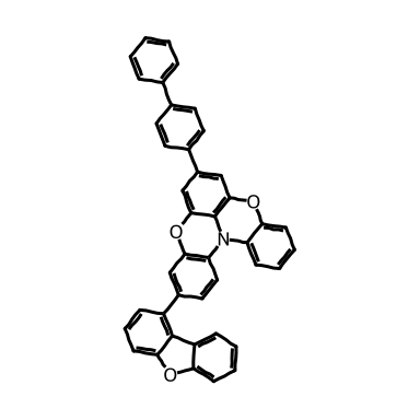 c1ccc(-c2ccc(-c3cc4c5c(c3)Oc3cc(-c6cccc7oc8ccccc8c67)ccc3N5c3ccccc3O4)cc2)cc1